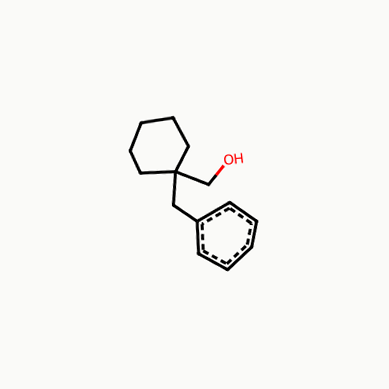 OCC1(Cc2ccccc2)CCCCC1